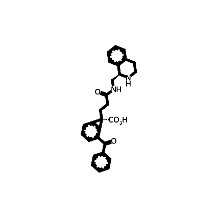 O=C(CC[C@]1(C(=O)O)c2cccc(C(=O)c3ccccc3)c21)NC[C@@H]1NCCc2ccccc21